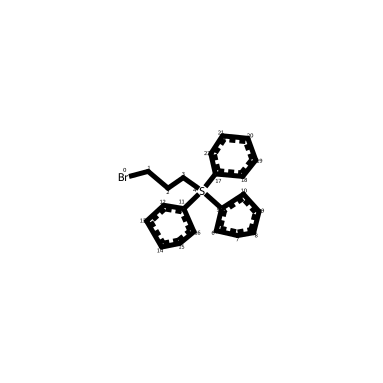 BrCCCS(c1ccccc1)(c1ccccc1)c1ccccc1